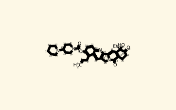 C=CCc1c(OC(=O)N2CCC(N3CCCCC3)CC2)ccc2nc3c(cc12)Cn1c-3cc2c(c1=O)CCC(=O)[C@]2(O)CC